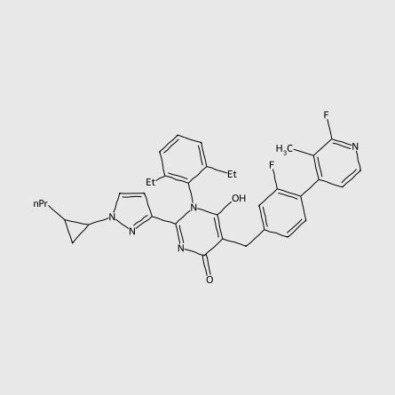 CCCC1CC1n1ccc(-c2nc(=O)c(Cc3ccc(-c4ccnc(F)c4C)c(F)c3)c(O)n2-c2c(CC)cccc2CC)n1